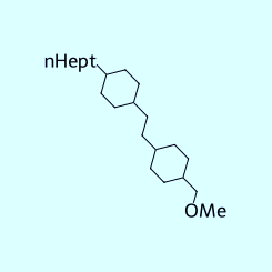 CCCCCCCC1CCC(CCC2CCC(COC)CC2)CC1